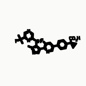 Cn1ncc(-c2ncc(-c3ccc(C4(C(=O)O)CC4)cc3)cc2F)c1Nc1cncc(C(C)(C)F)n1